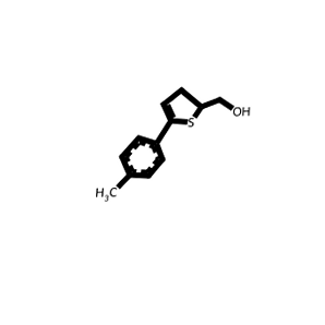 Cc1ccc(C2=CCC(CO)S2)cc1